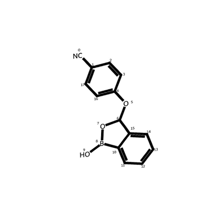 N#Cc1ccc(OC2OB(O)c3ccccc32)cc1